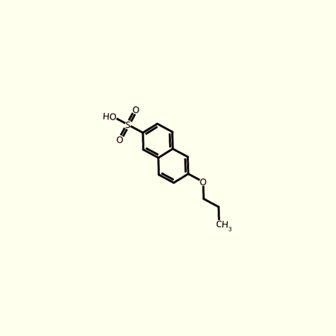 CCCOc1ccc2cc(S(=O)(=O)O)ccc2c1